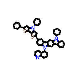 c1ccc(-c2cc3c(s2)c2sc(-c4ccc5c(c4)c4cc6c(cc4n5-c4cccc5ncccc45)c4ccccc4n6-c4ccccc4)cc2n3-c2ccccc2)cc1